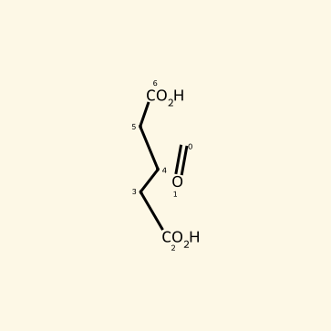 C=O.O=C(O)CCCC(=O)O